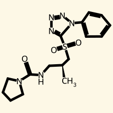 C[C@@H](CNC(=O)N1CCCC1)CS(=O)(=O)c1nnnn1-c1ccccc1